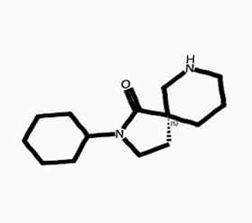 O=C1N(C2CCCCC2)CC[C@]12CCCNC2